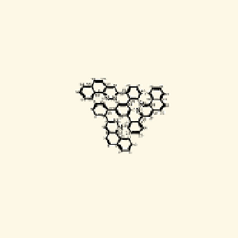 c1ccc(-c2cc3ccc4ccccc4c3nn2)c(-c2cc(-c3ccccc3-c3cc4ccc5ccccc5c4nn3)cc(-c3ccccc3-c3cc4ccc5ccccc5c4nn3)c2)c1